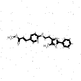 COC(=O)C=Cc1ccc(OCCc2nc(-c3ccccc3)oc2C)nc1